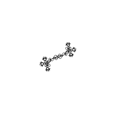 CN1C(C)(C)CC(OC(=O)C(CCCC(=O)OCC(C)(C)C2OCC3(CO2)COC(C(C)(C)COC(=O)CCCC(C(=O)OC2CC(C)(C)N(C)C(C)(C)C2)(C(=O)OC2CC(C)(C)N(C)C(C)(C)C2)C(=O)OC2CC(C)(C)N(C)C(C)(C)C2)OC3)(C(=O)OC2CC(C)(C)N(C)C(C)(C)C2)C(=O)OC2CC(C)(C)N(C)C(C)(C)C2)CC1(C)C